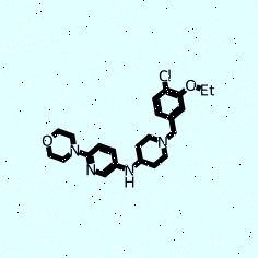 CCOc1cc(CN2CCC(Nc3ccc(N4CCOCC4)nc3)CC2)ccc1Cl